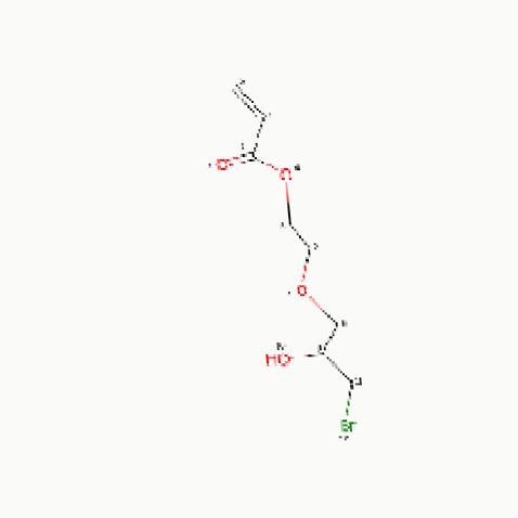 C=CC(=O)OCCOCC(O)CBr